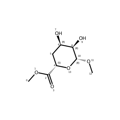 COC(=O)[C@@H]1C[C@@H](O)[C@@H](O)[C@H](OC)O1